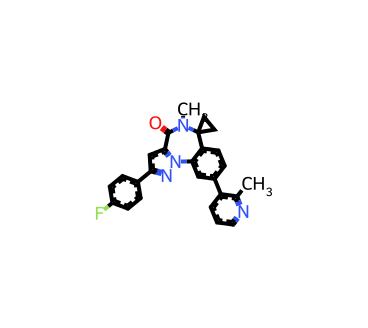 Cc1ncccc1-c1ccc2c(c1)-n1nc(-c3ccc(F)cc3)cc1C(=O)N(C)C21CC1